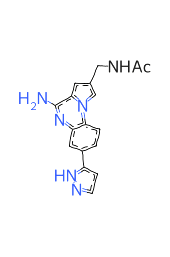 CC(=O)NCc1cc2c(N)nc3cc(-c4ccn[nH]4)ccc3n2c1